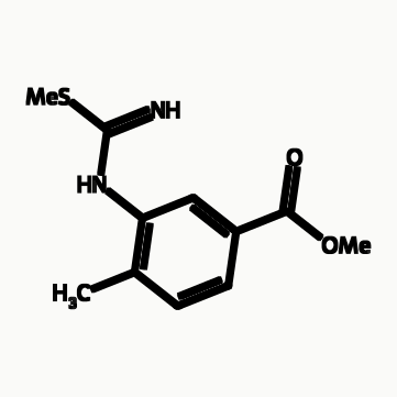 COC(=O)c1ccc(C)c(NC(=N)SC)c1